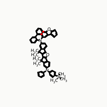 CC1(C)c2cc(N(c3ccccc3)c3ccc([Si](C)(C)C)cc3)ccc2-c2oc3c(c21)C(C)(C)c1cc(N(c2ccc4oc5ccccc5c4c2)c2ccccc2-c2ccccc2)ccc1-3